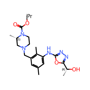 Cc1cc(CN2CCN(C(=O)OC(C)C)[C@@H](C)C2)c(C)c(Nc2nnc([C@@H](C)O)o2)c1